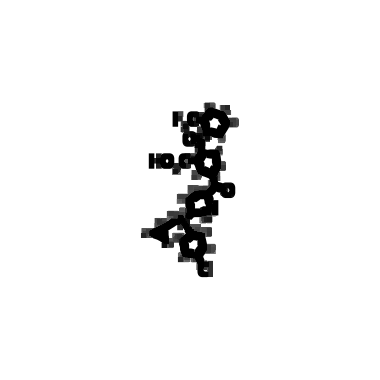 O=C(c1ccc([S+]([O-])c2ccccc2C(F)(F)F)c(C(=O)O)c1)c1ccc(N(CC2CC2)c2ccc(Cl)cc2)cn1